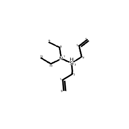 C=CC[SiH](CC=C)N(CC)CC